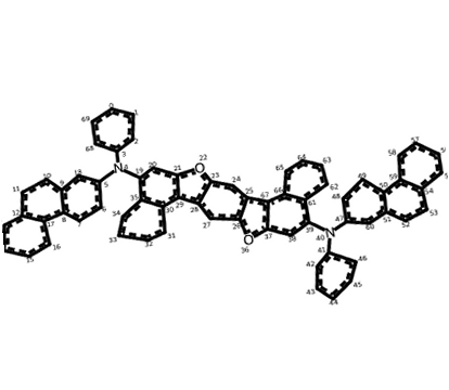 c1ccc(N(c2ccc3c(ccc4ccccc43)c2)c2cc3oc4cc5c(cc4c3c3ccccc23)oc2cc(N(c3ccccc3)c3ccc4c(ccc6ccccc64)c3)c3ccccc3c25)cc1